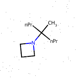 CCCC(C)(CCC)N1CCC1